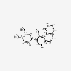 O=c1c(C2CC(O)=C(O)C=N2)coc2ccc3ccccc3c12